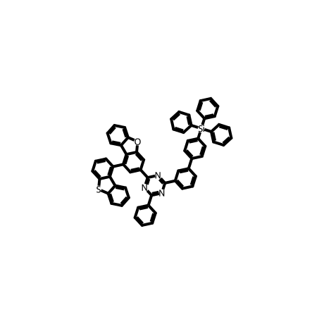 c1ccc(-c2nc(-c3cccc(-c4ccc([Si](c5ccccc5)(c5ccccc5)c5ccccc5)cc4)c3)nc(-c3cc(-c4cccc5sc6ccccc6c45)c4c(c3)oc3ccccc34)n2)cc1